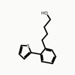 OCCCCc1ccccc1-c1cccs1